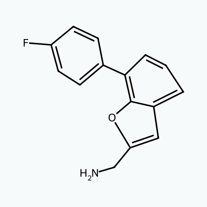 NCc1cc2cccc(-c3ccc(F)cc3)c2o1